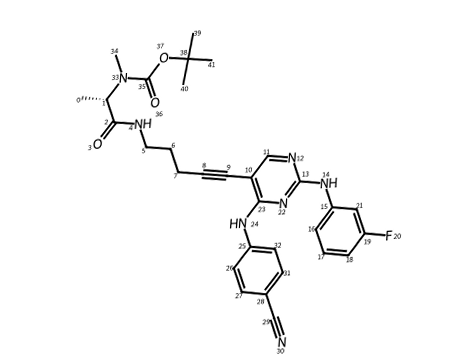 C[C@@H](C(=O)NCCCC#Cc1cnc(Nc2cccc(F)c2)nc1Nc1ccc(C#N)cc1)N(C)C(=O)OC(C)(C)C